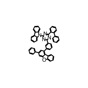 c1ccc(-c2cc(-c3cccc(-c4nc(-c5ccccc5-c5ccccc5)nc(-n5c6ccccc6c6ccccc65)n4)c3)c3c(c2)oc2ccccc23)cc1